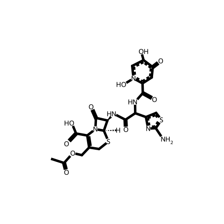 CC(=O)OCC1=C(C(=O)O)N2C(=O)[C@@H](NC(=O)C(NC(=O)c3cc(=O)c(O)cn3O)c3csc(N)n3)[C@H]2SC1